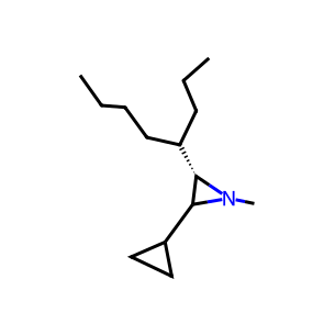 CCCCC(CCC)[C@H]1C(C2CC2)N1C